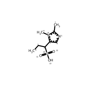 CCC(c1cnc(C)n1C)S(=O)(=O)O